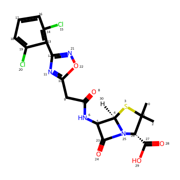 CC1(C)S[C@@H]2C(NC(=O)Cc3nc(-c4c(Cl)cccc4Cl)no3)C(=O)N2[C@H]1C(=O)O